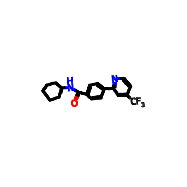 O=C(NC1CCCCC1)c1ccc(-c2cc(C(F)(F)F)ccn2)cc1